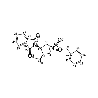 CC(C)[C@@H]1CN(C(=O)OCc2ccccc2)C[C@@H]1N1C(=O)c2ccccc2C1=O